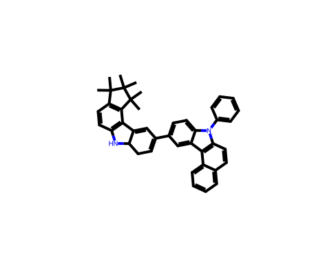 CC1(C)c2ccc3c(c2C(C)(C)C1(C)C)C1=CC(c2ccc4c(c2)c2c5ccccc5ccc2n4-c2ccccc2)=CCC1N3